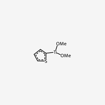 C[O][Ti]([O]C)[c]1cccs1